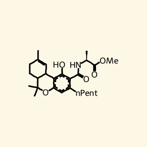 CCCCCc1cc2c(c(O)c1C(=O)N[C@@H](C)C(=O)OC)C1C=C(C)CCC1C(C)(C)O2